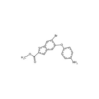 COC(=O)c1cc2cc(Oc3ccc(N)cc3)c(Br)cc2s1